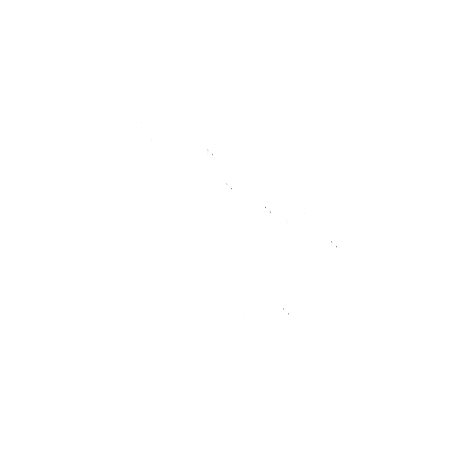 C=C(c1ccc(N2CCCB2C)cc1C#N)N1CCN(c2ncc(C3CC3)cc2CCC)CC1